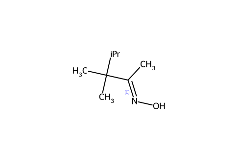 C/C(=N\O)C(C)(C)C(C)C